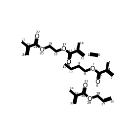 C=C.C=C(C)C(=O)OCCCC.C=C(C)C(=O)OCCOC(=O)C(=C)C.C=CCOC(=O)C(=C)C